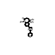 CCCC1(CCC)CCC(=O)N(C(C)C)c2ccc(-c3csc(-c4ccncc4)n3)cc21